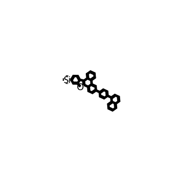 C[Si](C)(C)c1ccc2c(c1)oc1c3ccc(-c4ccc(-c5cccc6ccccc56)cc4)cc3c3ccccc3c21